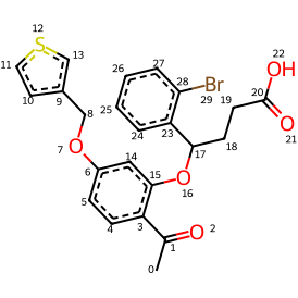 CC(=O)c1ccc(OCc2ccsc2)cc1OC(CCC(=O)O)c1ccccc1Br